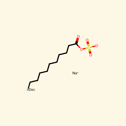 CCCCCCCCCCCCCCCCCCCC(=O)OS(=O)(=O)[O-].[Na+]